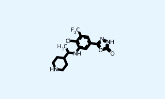 CC(Nc1cc(-c2n[nH]c(=O)o2)cc(C(F)(F)F)c1Cl)C1CCNCC1